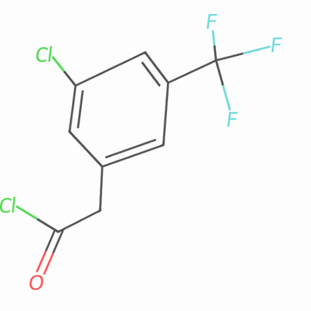 O=C(Cl)Cc1cc(Cl)cc(C(F)(F)F)c1